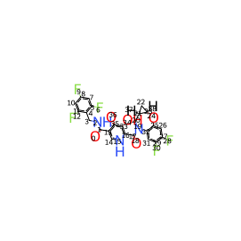 O=C(NCc1c(F)cc(F)cc1F)c1c[nH]c(C(=O)N2C[C@@H]3C[C@@H]3Oc3cc(F)c(F)cc32)c(O)c1=O